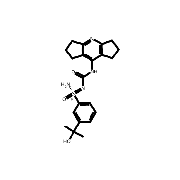 CC(C)(O)c1cccc([S@@](N)(=O)=NC(=O)Nc2c3c(nc4c2CCC4)CCC3)c1